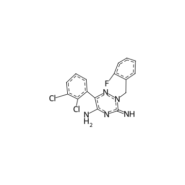 N=c1nc(N)c(-c2cccc(Cl)c2Cl)nn1Cc1ccccc1F